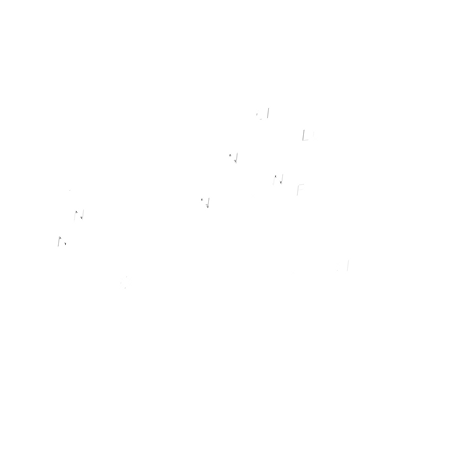 CCc1nc2c(-c3ccc(Cl)cc3F)cc(C3=CC(c4cnn(C5CC5)c4)OCC3)nc2nc1C